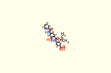 CC(C)Oc1cc(C(=O)O)ccc1NC(=O)c1ccc(NC(=O)c2ccccn2)cc1O